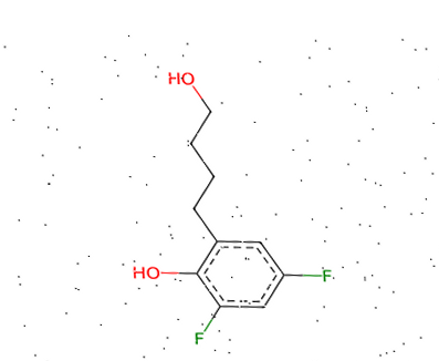 OCCCCc1cc(F)cc(F)c1O